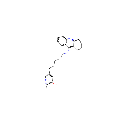 O=Cc1ncc(CCCCCNc2c3c(nc4ccccc24)CCCC3)cc1O